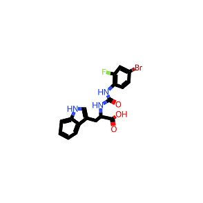 O=C(Nc1ccc(Br)cc1F)NC(Cc1c[nH]c2ccccc12)C(=O)O